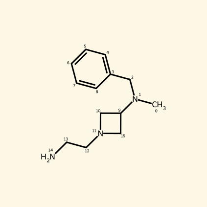 CN(Cc1ccccc1)C1CN(CCN)C1